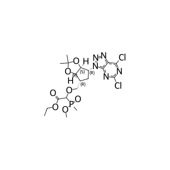 CCOC(=O)C(OC[C@H]1C[C@@H](n2nnc3c(Cl)nc(Cl)nc32)[C@@H]2OC(C)(C)O[C@H]12)P(C)(=O)OC